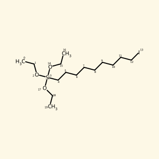 CCO[Si](CCCCCCCCCI)(OCC)OCC